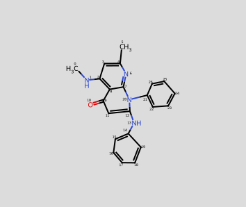 CNc1cc(C)nc2c1c(=O)cc(Nc1ccccc1)n2-c1ccccc1